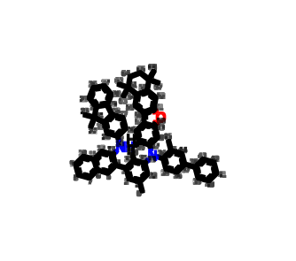 Cc1cc(-c2cc3ccccc3cc2Nc2ccc3c(c2)C(C)(C)c2ccccc2-3)c2c(c1)N(c1ccc(-c3ccccc3)cc1C)c1cc3oc4cc5c(cc4c3cc1B2)C(C)(C)CCC5(C)C